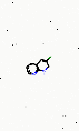 FC1=Cc2cccnc2NC1